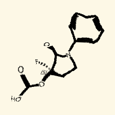 O=C(O)O[C@]1(F)CCN(c2ccccc2)C1=O